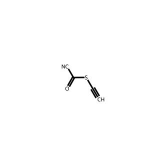 C#CSC(=O)C#N